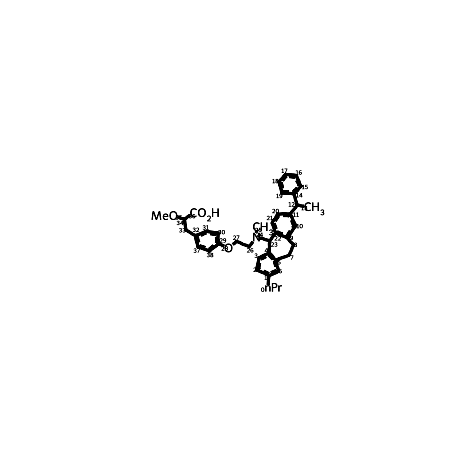 CCCc1ccc2c(c1)CCc1cc(C(C)c3ccccc3)ccc1C2N(C)CCOc1ccc(CC(OC)C(=O)O)cc1